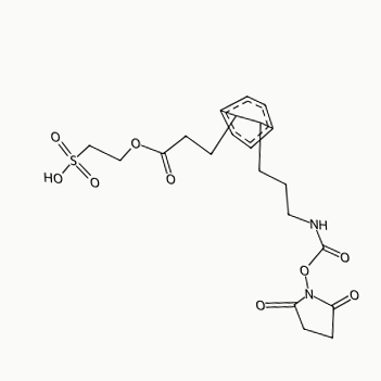 O=C(CCC1c2ccc(cc2)C1CCCNC(=O)ON1C(=O)CCC1=O)OCCS(=O)(=O)O